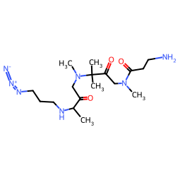 CC(NCCCN=[N+]=[N-])C(=O)CN(C)C(C)(C)C(=O)CN(C)C(=O)CCN